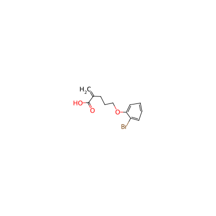 C=C(CCCOc1ccccc1Br)C(=O)O